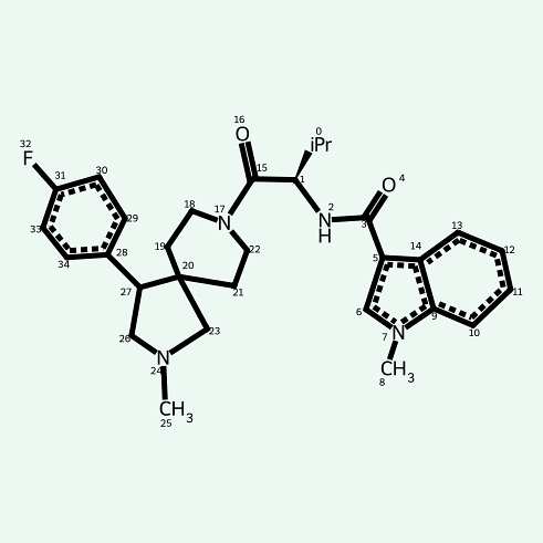 CC(C)[C@@H](NC(=O)c1cn(C)c2ccccc12)C(=O)N1CCC2(CC1)CN(C)CC2c1ccc(F)cc1